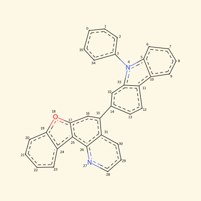 c1ccc(-n2c3ccccc3c3ccc(-c4cc5oc6ccccc6c5c5ncccc45)cc32)cc1